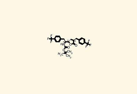 CC(C)(C)OC(=O)N[C@@H](Cc1ccc(C(F)(F)F)cc1)[C@@H]1C[C@@H](Cc2ccc(C(F)(F)F)cc2)C(=O)O1